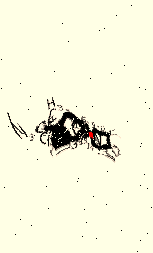 CC(C)(C)c1ccc(C2CC3CCC(C2)N3C2COC2)cc1